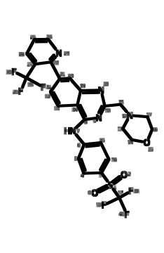 O=S(=O)(c1ccc(Nc2nc(CN3CCOCC3)nc3cc(-c4ncccc4C(F)(F)F)ccc23)cc1)C(F)(F)F